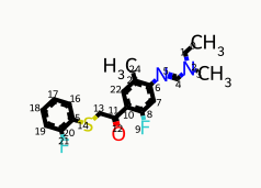 CCN(C)C=Nc1cc(F)c(C(=O)CSc2ccccc2F)cc1C